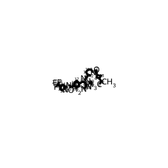 CC(C)C1CC(C(=O)N2CCCC(c3nc(-c4ccc(C(=O)Nc5cc(C(F)(F)F)ccn5)cc4)c4c(N)nccn34)C2)C1